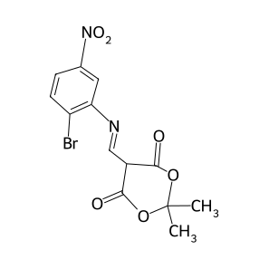 CC1(C)OC(=O)C(/C=N/c2cc([N+](=O)[O-])ccc2Br)C(=O)O1